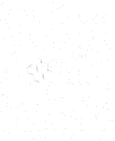 NCCCCCCN1C(=O)c2cccc3c(Cl)ccc(c23)C1=O